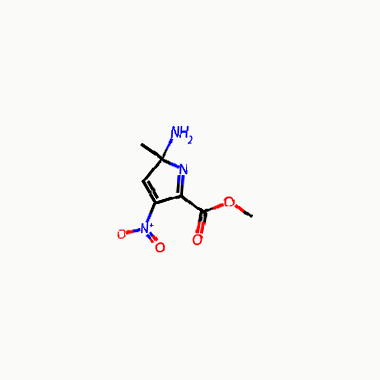 COC(=O)C1=NC(C)(N)C=C1[N+](=O)[O-]